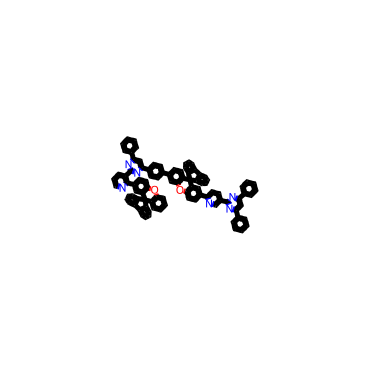 c1ccc(-c2cc(-c3ccccc3)nc(-c3ccc(-c4ccc5c(c4)C4(c6ccc(-c7ccc(-c8cc(-c9ccccc9)nc(-c9cccnc9-c9ccc%10c(c9)C9(c%11ccccc%11O%10)c%10ccccc%10-c%10ccccc%109)n8)cc7)cc6O5)c5ccccc5-c5ccccc54)nc3)n2)cc1